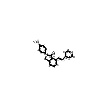 CCCCc1ccc(N2Cc3cccc(C=Cc4ccncc4)c3C2=O)cc1